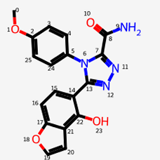 COc1ccc(-n2c(C(N)=O)nnc2-c2ccc3occc3c2O)cc1